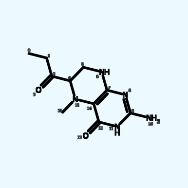 CCC(=O)C1CNc2nc(N)[nH]c(=O)c2N1C